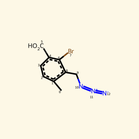 Cc1ccc(C(=O)O)c(Br)c1CN=[N+]=[N-]